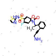 CC(c1ccccc1C#CCN)n1c(=O)oc2cc(S(=O)(=O)Nc3nccs3)c(F)cc21